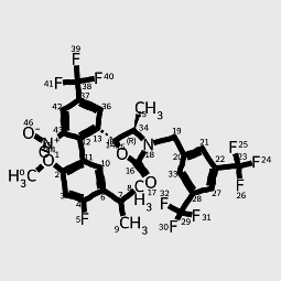 COc1cc(F)c(C(C)C)cc1-c1c([C@H]2OC(=O)N(Cc3cc(C(F)(F)F)cc(C(F)(F)F)c3)[C@@H]2C)cc(C(F)(F)F)cc1[N+](=O)[O-]